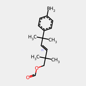 Bc1ccc(C(C)(C)/C=C/C(C)(C)COC=O)cc1